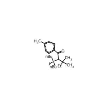 CCCCS(I)(CCCC)C(C(=O)c1ccc(C)cc1)C(C)(C)CC